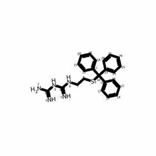 N=C(N)NC(=N)NCCSC(c1ccccc1)(c1ccccc1)c1ccccc1